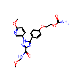 COCNC(=O)c1nc(-c2ccc(OCCOC(N)=O)cc2)n(-c2ccc(OC)nc2)n1